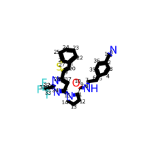 N#Cc1ccc(CCNC(=O)[C@@H]2CCCN2c2cc(-c3cc4ccccc4s3)nc(C(F)(F)F)n2)cc1